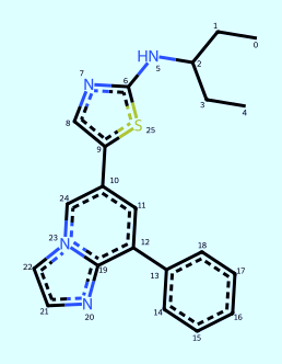 CCC(CC)Nc1ncc(-c2cc(-c3ccccc3)c3nccn3c2)s1